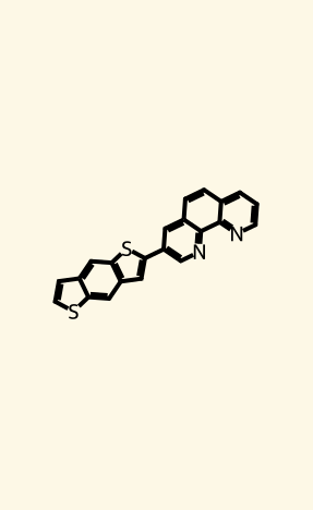 c1cnc2c(c1)ccc1cc(-c3cc4cc5sccc5cc4s3)cnc12